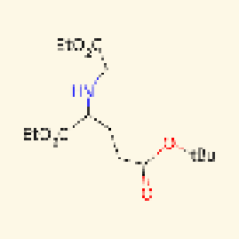 CCOC(=O)CNC(CCC(=O)OC(C)(C)C)C(=O)OCC